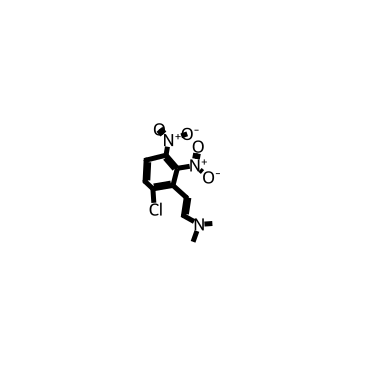 CN(C)C=Cc1c(Cl)ccc([N+](=O)[O-])c1[N+](=O)[O-]